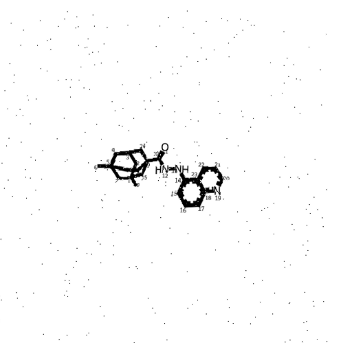 CC12CC3CC(C)(C1)CC(C(=O)NNc1cccc4ncccc14)(C3)C2